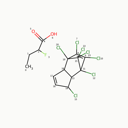 CCC(F)C(=O)O.ClC1=C(Cl)C2(Cl)C3C(Cl)C=CC3C1(Cl)C2(Cl)Cl